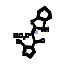 CCOC(=O)/C(C(=O)c1ccsc1Br)=C1/Nc2ccccc2S1